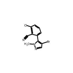 Cn1ncc(Br)c1-c1cccc(Cl)c1C#N